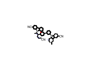 C=CCc1c2c(n(-c3cccc(-c4ccc(C(/C=C\CC#N)=C(/C)n5c6ccccc6c6ccc(C#N)cc65)cc4)c3)c1/C=C\C)CCC(C#N)=C2